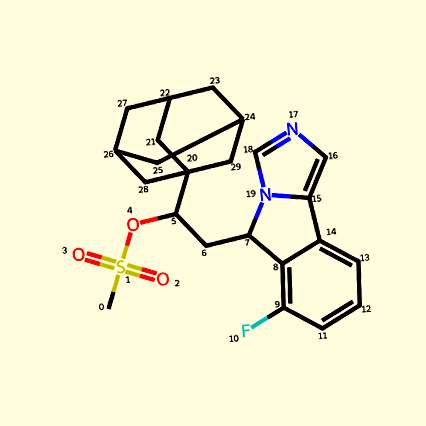 CS(=O)(=O)OC(CC1c2c(F)cccc2-c2cncn21)C12CC3CC(CC(C3)C1)C2